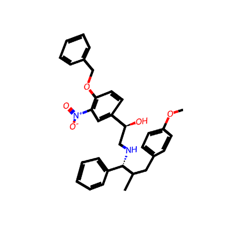 COc1ccc(CC(C)[C@@H](NC[C@H](O)c2ccc(OCc3ccccc3)c([N+](=O)[O-])c2)c2ccccc2)cc1